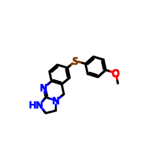 COc1ccc(Sc2ccc3c(c2)CN2CCNC2=N3)cc1